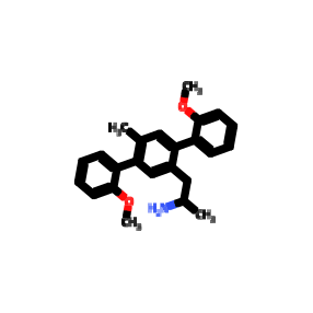 COc1ccccc1-c1cc(CC(C)N)c(-c2ccccc2OC)cc1C